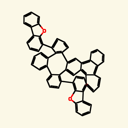 c1ccc2c(c1)-c1cccc(-c3cccc4c3oc3ccccc34)c1-c1cc3c4ccccc4c4ccccc4c3cc1-c1cccc(-c3cccc4c3oc3ccccc34)c1-2